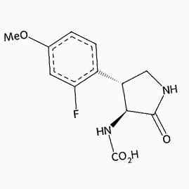 COc1ccc([C@@H]2CNC(=O)[C@H]2NC(=O)O)c(F)c1